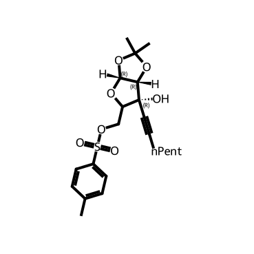 CCCCCC#C[C@@]1(O)C(COS(=O)(=O)c2ccc(C)cc2)O[C@@H]2OC(C)(C)O[C@@H]21